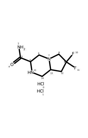 Cl.Cl.NC(=O)C1CN2CC(F)(F)CC2CN1